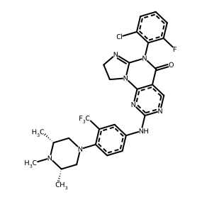 C[C@@H]1CN(c2ccc(Nc3ncc4c(n3)N3CCN=C3N(c3c(F)cccc3Cl)C4=O)cc2C(F)(F)F)C[C@H](C)N1C